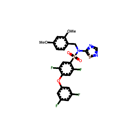 COc1ccc(CN(c2ncns2)S(=O)(=O)c2cc(F)c(Oc3cc(F)cc(F)c3)cc2F)c(OC)c1